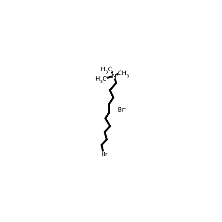 C[N+](C)(C)CCCCCCCCCCBr.[Br-]